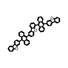 c1ccc2c(c1)oc1cc(-c3c4ccccc4c(-c4ccc5oc6c(-c7c8ccccc8c(-c8ccc9c(c8)oc8ccccc89)c8ccccc78)cccc6c5c4)c4ccccc34)ccc12